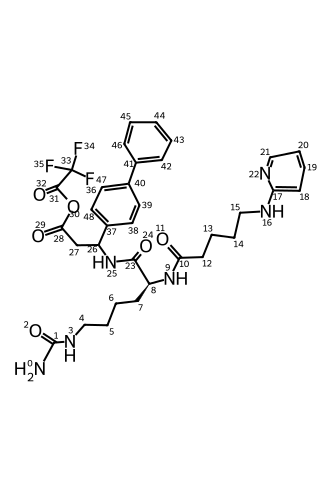 NC(=O)NCCCC[C@H](NC(=O)CCCCNc1ccccn1)C(=O)NC(CC(=O)OC(=O)C(F)(F)F)c1ccc(-c2ccccc2)cc1